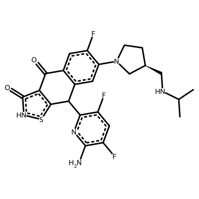 CC(C)NC[C@@H]1CCN(c2cc3c(cc2F)C(=O)c2c(s[nH]c2=O)C3c2nc(N)c(F)cc2F)C1